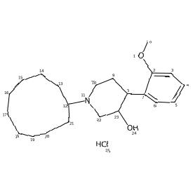 COc1ccccc1C1CCN(C2CCCCCCCCC2)CC1O.Cl